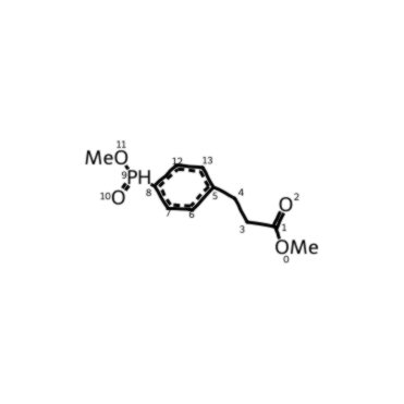 COC(=O)CCc1ccc([PH](=O)OC)cc1